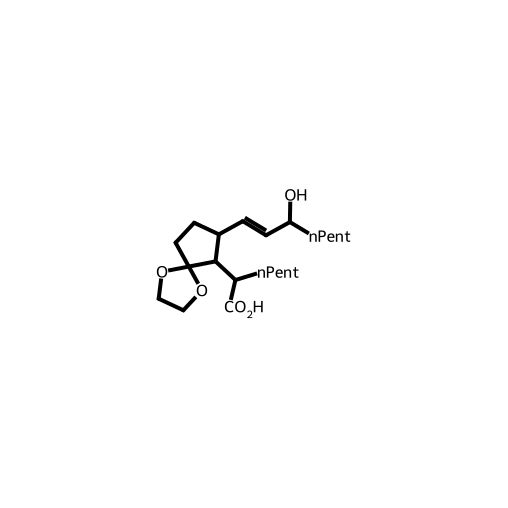 CCCCCC(O)C=CC1CCC2(OCCO2)C1C(CCCCC)C(=O)O